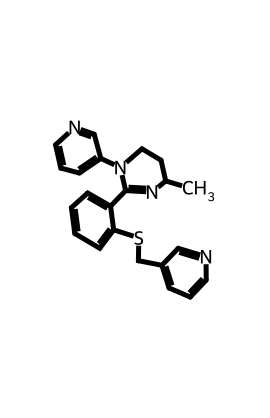 CC1CCN(c2cccnc2)C(c2ccccc2SCc2cccnc2)=N1